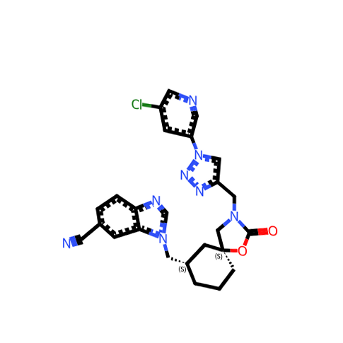 N#Cc1ccc2ncn(C[C@H]3CCC[C@]4(C3)CN(Cc3cn(-c5cncc(Cl)c5)nn3)C(=O)O4)c2c1